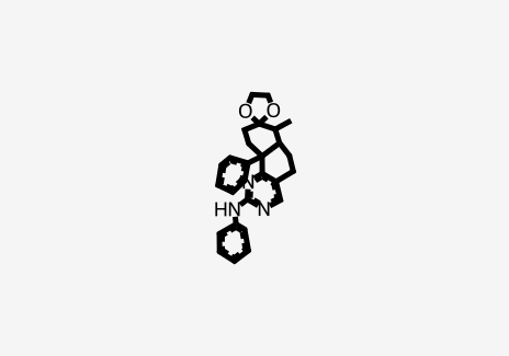 CC1C2CCc3cnc(Nc4ccccc4)nc3C2(c2ccccc2)CCC12OCCO2